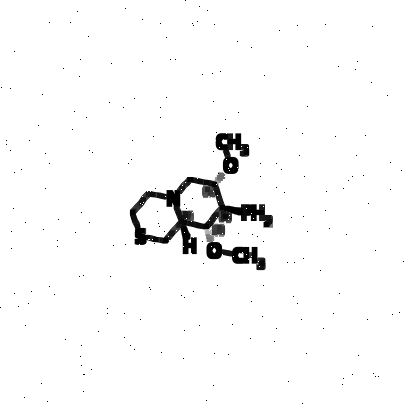 CO[C@H]1[C@H](P)[C@@H](OC)CN2CCSC[C@@H]12